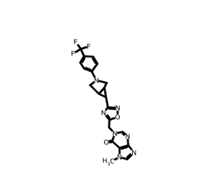 Cn1cnc2ncn(Cc3nc(C4C5CN(c6ccc(C(F)(F)F)cc6)CC54)no3)c(=O)c21